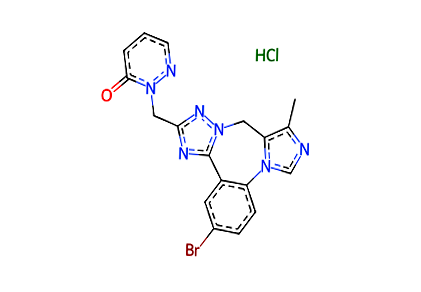 Cc1ncn2c1Cn1nc(Cn3ncccc3=O)nc1-c1cc(Br)ccc1-2.Cl